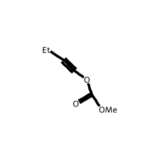 CCC#COC(=O)OC